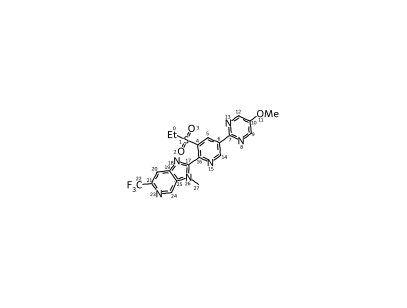 CCS(=O)(=O)c1cc(-c2ncc(OC)cn2)cnc1-c1nc2cc(C(F)(F)F)ncc2n1C